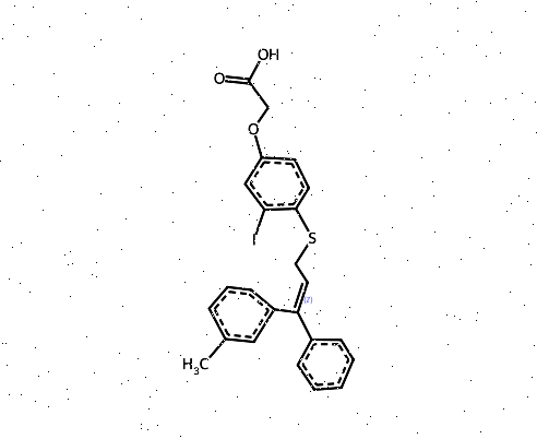 Cc1cccc(/C(=C\CSc2ccc(OCC(=O)O)cc2I)c2ccccc2)c1